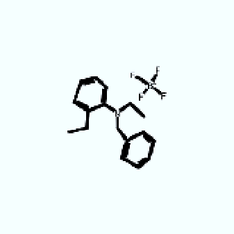 CCc1ccccc1N(CC)Cc1ccccc1.F[B-](F)(F)F